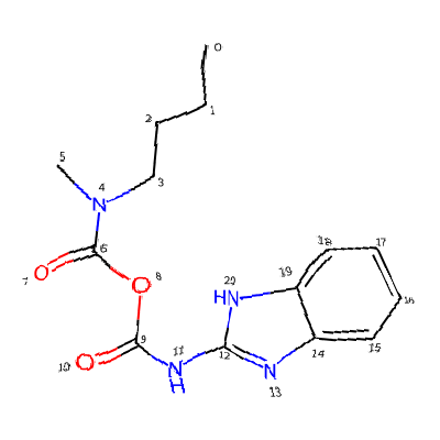 CCCCN(C)C(=O)OC(=O)Nc1nc2ccccc2[nH]1